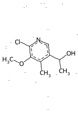 COc1c(Cl)ncc(C(C)O)c1C